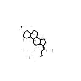 C[C@H](CCC(=O)O)C1CC[C@H]2[C@@H]3CCC4C[C@H](OS(=O)(=O)O)CC[C@]4(C)[C@H]3C[C@H](OS(=O)(=O)O)[C@]12C